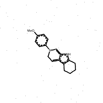 COc1ccc(N2C=c3[nH]c4c(c3=CC2)CCCC4)cc1